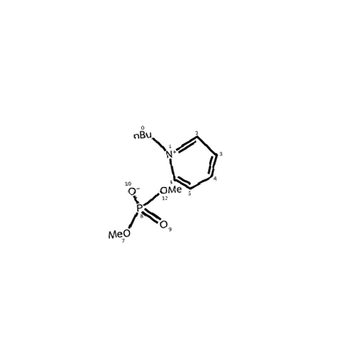 CCCC[n+]1ccccc1.COP(=O)([O-])OC